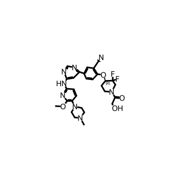 COc1nc(Nc2cc(-c3ccc(O[C@@H]4CCN(C(=O)CO)CC4(F)F)c(C#N)c3)ncn2)ccc1N1CCN(C)CC1